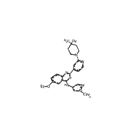 CCOc1ccc2nc(-c3ccnc(N4CCC(C)(O)CC4)c3)nc(Nc3cnn(C)c3)c2c1